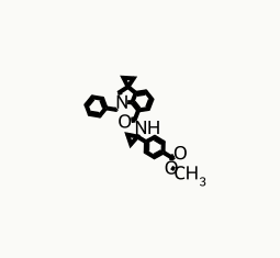 COC(=O)c1ccc(C2(NC(=O)c3cccc4c3N(Cc3ccccc3)CC43CC3)CC2)cc1